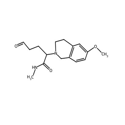 CNC(=O)C(CCC=O)N1CCc2cc(OC)ccc2C1